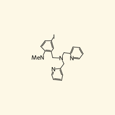 CNc1ccc(I)cc1CN(Cc1ccccn1)Cc1ccccn1